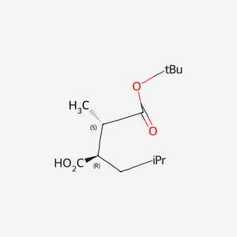 CC(C)C[C@@H](C(=O)O)[C@H](C)C(=O)OC(C)(C)C